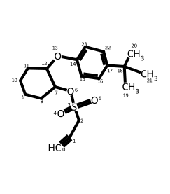 C#CCS(=O)(=O)OC1CCCCC1Oc1ccc(C(C)(C)C)cc1